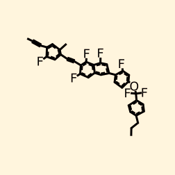 CC#Cc1cc(C)c(C#Cc2c(F)cc3cc(-c4ccc(OC(F)(F)c5ccc(CCC)cc5)cc4F)cc(F)c3c2F)cc1F